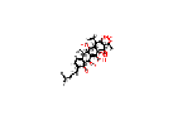 CC(=O)C1=C(O)C(C(C)C)[C@@]2(C)[C@H](O)[C@]3(C)C(=C(O)[C@@]2(O)C1=O)C(=O)c1c(ccc(CCCC(C)C)c1O)[C@H]3C